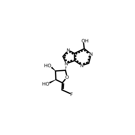 Oc1ncnc2c1ncn2[C@@H]1O/C(=C\F)[C@@H](O)[C@H]1O